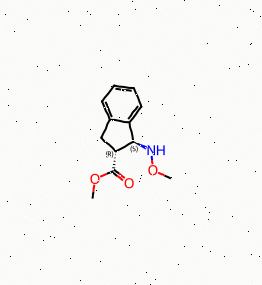 CON[C@@H]1c2ccccc2C[C@H]1C(=O)OC